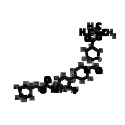 CC(C)(C)OC(=O)[C@H]1CC[C@H](C(=O)N2CCC(c3ccc(NC(=O)OCc4ccccc4)cc3F)CC2)CC1